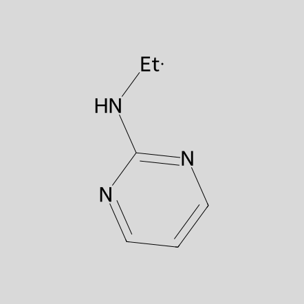 C[CH]Nc1ncccn1